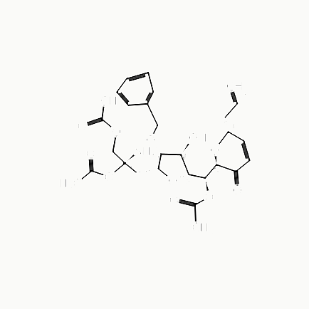 C=CC[C@@H]1C=CC(=O)[C@@H]([C@@H](OC(C)=O)[C@@H]2O[C@H](C[C@@](S)(COC(C)=O)OC(C)=O)[C@H](OCc3ccccc3)[C@H]2O)O1